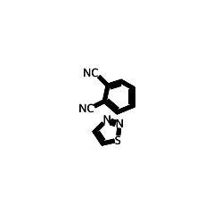 N#Cc1ccccc1C#N.c1csnn1